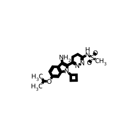 CC(C)Oc1ccc2c(N)c(C3=NN=C(NS(C)(=O)=O)CC3)n(C3CCC3)c2c1